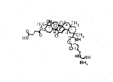 CC1(C)[C@@H](OC(=O)CCC(=O)O)CC[C@]2(C)[C@H]3C(=O)C=C4[C@@H]5C[C@@](C)(C(=O)NC(CCCNC(=N)N)C(=O)O)CC[C@]5(C)CC[C@@]4(C)[C@]3(C)CC[C@@H]12